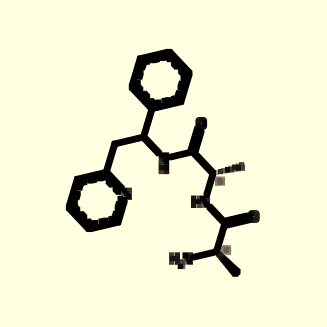 C[C@H](NC(=O)[C@@H](C)N)C(=O)NC(Cc1ccccn1)c1ccccc1